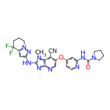 Cn1c(Nc2cc3n(n2)CCCC3(F)F)nc2ncc(Oc3ccnc(NC(=O)N4CCCC4)c3)c(C#N)c21